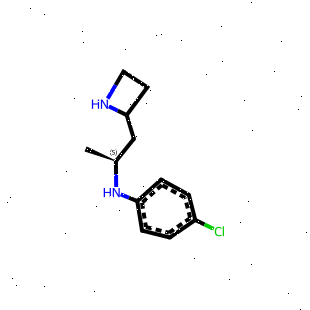 C[C@@H](CC1CCN1)Nc1ccc(Cl)cc1